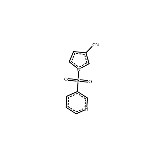 N#Cc1ccn(S(=O)(=O)c2cccnc2)c1